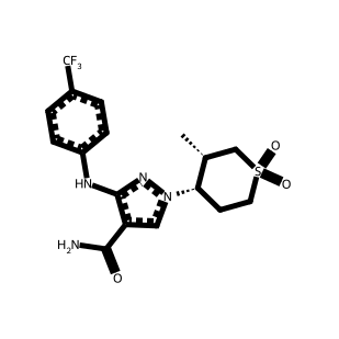 C[C@@H]1CS(=O)(=O)CC[C@@H]1n1cc(C(N)=O)c(Nc2ccc(C(F)(F)F)cc2)n1